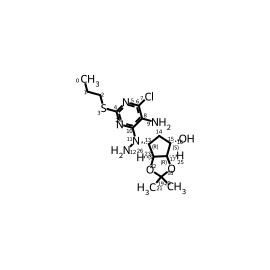 CCCSc1nc(Cl)c(N)c(N(N)[C@@H]2C[C@H](O)[C@H]3OC(C)(C)O[C@H]32)n1